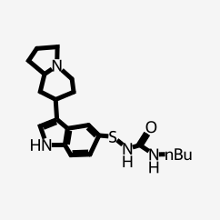 CCCCNC(=O)NSc1ccc2[nH]cc(C3CCN4CCCC4C3)c2c1